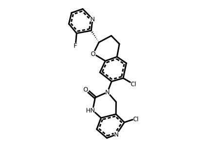 O=C1Nc2ccnc(Cl)c2CN1c1cc2c(cc1Cl)CC[C@@H](c1ncccc1F)O2